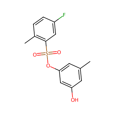 Cc1cc(O)cc(OS(=O)(=O)c2cc(F)ccc2C)c1